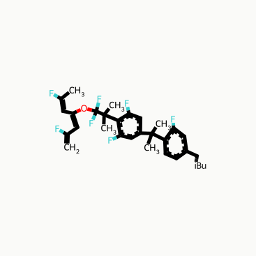 C=C(F)/C=C(\C=C(/C)F)OC(F)(F)C(C)(C)c1c(F)cc(C(C)(C)c2ccc(CC(C)CC)cc2F)cc1F